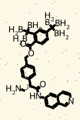 BC(B)(B)c1ccc(C(=O)OCc2ccc([C@@H](CN)C(=O)Nc3ccc4cnccc4c3)cc2)c(C(B)(B)B)c1